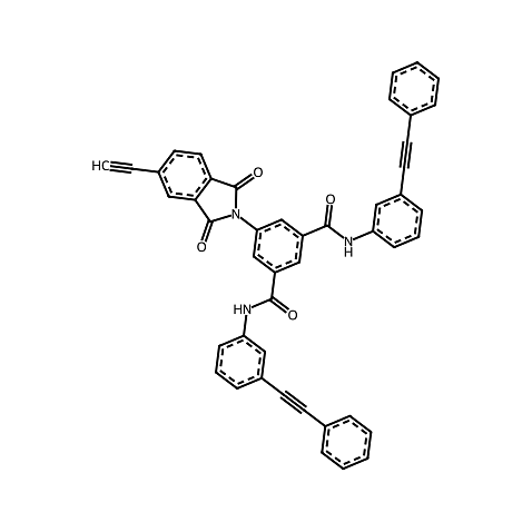 C#Cc1ccc2c(c1)C(=O)N(c1cc(C(=O)Nc3cccc(C#Cc4ccccc4)c3)cc(C(=O)Nc3cccc(C#Cc4ccccc4)c3)c1)C2=O